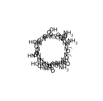 CCCC[C@H]1C(=O)N(C)[C@@H](CCCC)C(=O)N[C@@H](CCCN)C(=O)N[C@H](C(=O)NCC(N)=O)CSCC(=O)N[C@@H](Cc2ccc(O)cc2)C(=O)N2CCCCC2C(=O)N[C@@H](CC(=O)O)C(=O)N2CCC[C@H]2C(=O)N[C@@H](Cc2c[nH]cn2)C(=O)N[C@@H](CCC(=O)O)C(=O)N2C[C@H](O)C[C@H]2C(=O)N[C@@H](Cc2c[nH]c3ccccc23)C(=O)N[C@@H](CCN)C(=O)N[C@@H](Cc2c[nH]c3ccccc23)C(=O)N1C